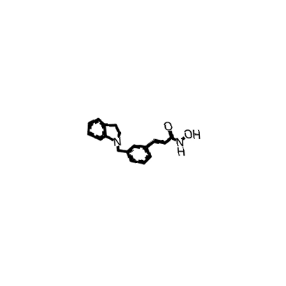 O=C(/C=C/c1cccc(CN2CCc3ccccc32)c1)NO